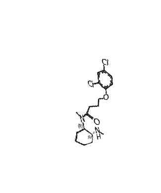 CN[C@@H]1CCCC[C@H]1N(C)C(=O)CCCOc1ccc(Cl)cc1Cl